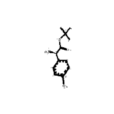 CC(C)(C)OC(=O)[C@H](N)c1ccc(O)cc1